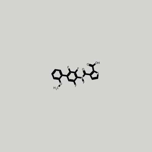 COc1ccccc1-c1cc(F)c(N(F)C(=O)c2ccsc2C(=O)O)c(F)c1F